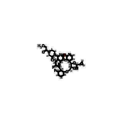 C=CC(=O)N1CCN(c2nc(=O)n3c4nc(c(F)cc24)-c2c(F)cccc2OCC(O)C(OC(=O)C2CC2)c2ccnc(C(C)C)c2-3)[C@@H](C)C1